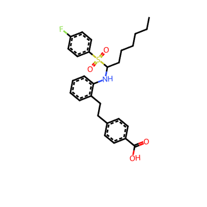 CCCCCCC(Nc1ccccc1CCc1ccc(C(=O)O)cc1)S(=O)(=O)c1ccc(F)cc1